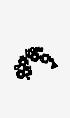 C=P(=O)c1ccccc1NC1N=C(Nc2ccc(N3CCN(CC4CC4)CC3)cc2OC)N=CC1Cl